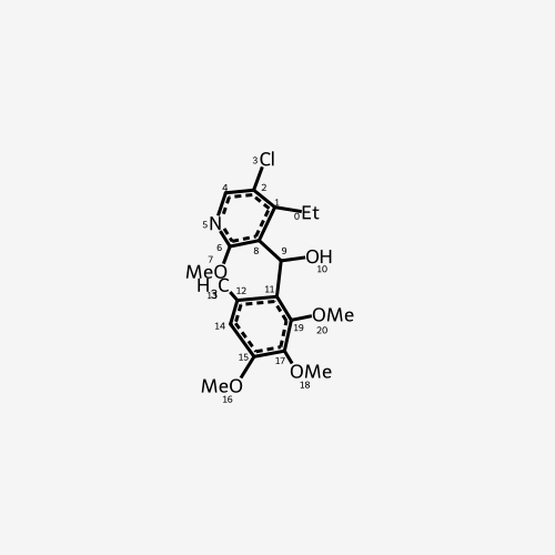 CCc1c(Cl)cnc(OC)c1C(O)c1c(C)cc(OC)c(OC)c1OC